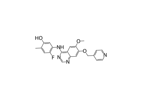 COc1cc2c(Nc3cc(O)c(C)cc3F)ncnc2cc1OCc1ccncc1